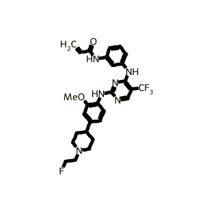 C=CC(=O)Nc1cccc(Nc2nc(Nc3ccc(C4CCN(CCF)CC4)cc3OC)ncc2C(F)(F)F)c1